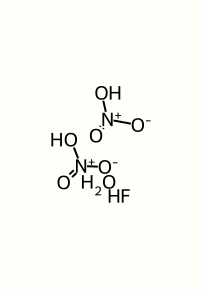 F.O.O=[N+]([O-])O.O=[N+]([O-])O